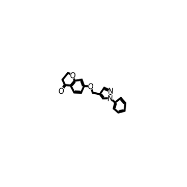 O=C1CCOc2cc(OCc3cnn(-c4ccccc4)c3)ccc21